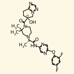 C[C@@H](C(=O)Nc1cnc(Oc2ccc(F)cc2F)cn1)N1CCN(C(=O)[C@]2(O)CCc3ncnn3C2)C(C)(C)C1